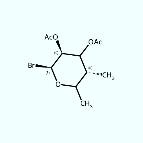 CC(=O)OC1[C@H](C)C(C)O[C@@H](Br)[C@H]1OC(C)=O